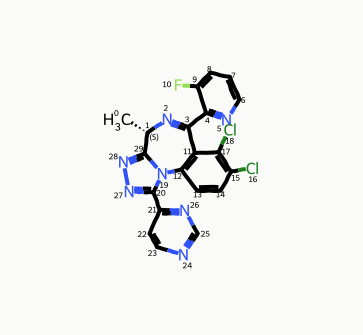 C[C@@H]1N=C(c2ncccc2F)c2c(ccc(Cl)c2Cl)-n2c(-c3ccncn3)nnc21